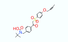 CC#CCOc1ccc(S(=O)(=O)CC(=O)c2ccc(CN(C(=O)O)C(C)(C)C)cc2)cc1